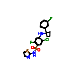 O=S(=O)(Nc1nccs1)c1cc(Cl)c(NC2(c3cccc(F)c3)CCC2)cc1F